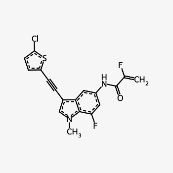 C=C(F)C(=O)Nc1cc(F)c2c(c1)c(C#Cc1ccc(Cl)s1)cn2C